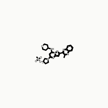 Cc1nc2ccccc2nc1-c1cc2nc(N3CC[C@H](OS(C)(=O)=O)C3)cc(NC3CCOCC3)n2n1